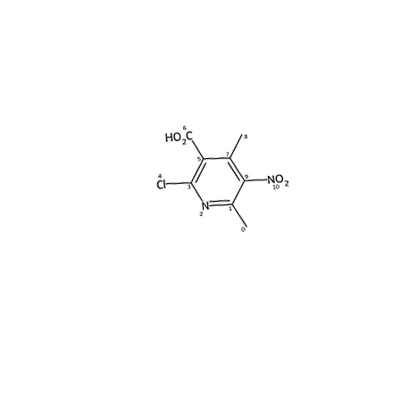 Cc1nc(Cl)c(C(=O)O)c(C)c1[N+](=O)[O-]